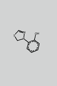 Oc1ccccc1N1CSC=N1